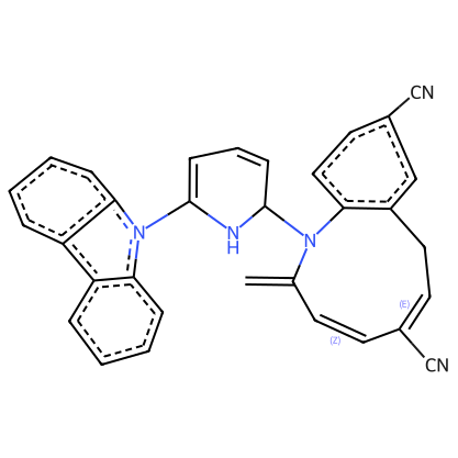 C=C1/C=C\C(C#N)=C/Cc2cc(C#N)ccc2N1C1C=CC=C(n2c3ccccc3c3ccccc32)N1